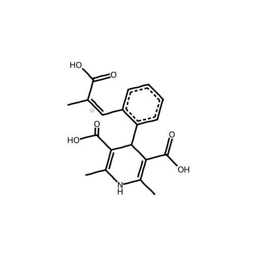 CC1=C(C(=O)O)C(c2ccccc2/C=C(/C)C(=O)O)C(C(=O)O)=C(C)N1